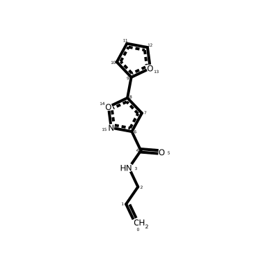 C=CCNC(=O)c1cc(-c2ccco2)on1